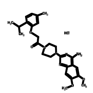 COc1cc2nc(N3CCN(C(=O)COc4cc(C)ccc4C(C)C)CC3)nc(N)c2cc1OC.Cl